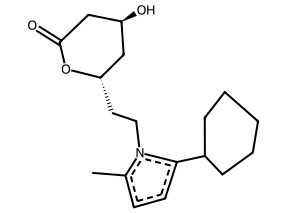 Cc1ccc(C2CCCCC2)n1CC[C@H]1C[C@H](O)CC(=O)O1